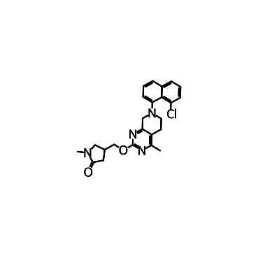 Cc1nc(OCC2CC(=O)N(C)C2)nc2c1CCN(c1cccc3cccc(Cl)c13)C2